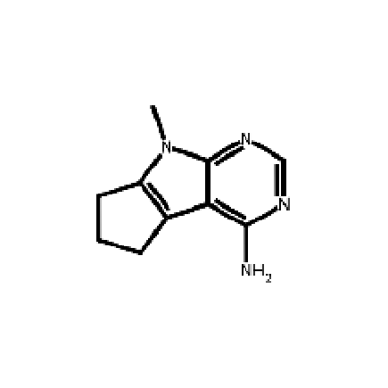 Cn1c2c(c3c(N)ncnc31)CCC2